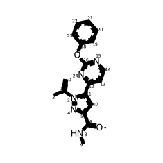 C=C(C)n1nc(C(=O)NC)cc1-c1ccnc(Oc2ccccc2)n1